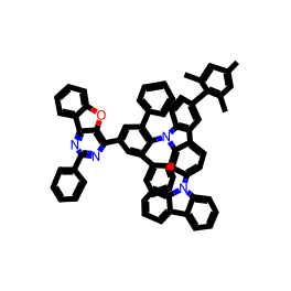 Cc1cc(C)c(-c2ccc3c(c2)c2ccc(-n4c5ccccc5c5ccccc54)cc2n3-c2c(-c3ccccc3)cc(-c3nc(-c4ccccc4)nc4c3oc3ccccc34)cc2-c2ccccc2)c(C)c1